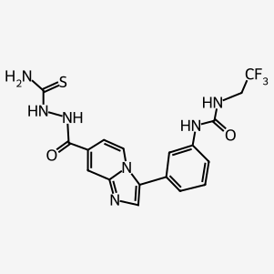 NC(=S)NNC(=O)c1ccn2c(-c3cccc(NC(=O)NCC(F)(F)F)c3)cnc2c1